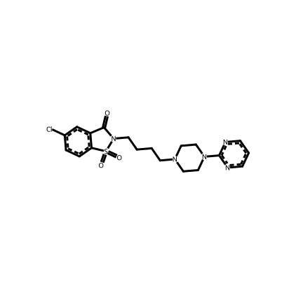 O=C1c2cc(Cl)ccc2S(=O)(=O)N1CCCCN1CCN(c2ncccn2)CC1